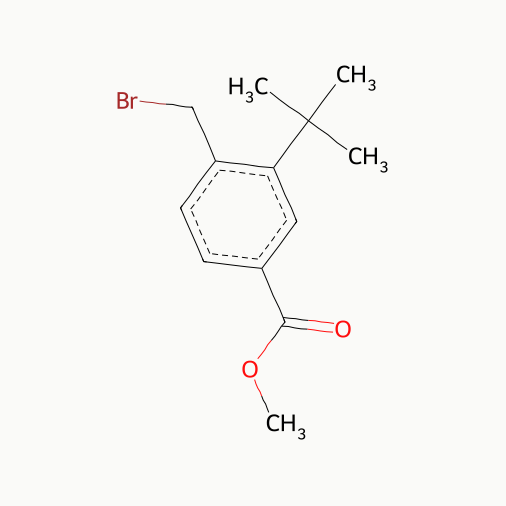 COC(=O)c1ccc(CBr)c(C(C)(C)C)c1